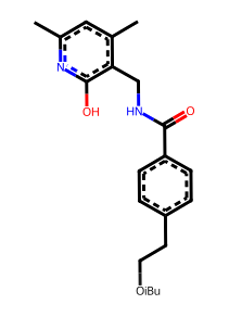 Cc1cc(C)c(CNC(=O)c2ccc(CCOCC(C)C)cc2)c(O)n1